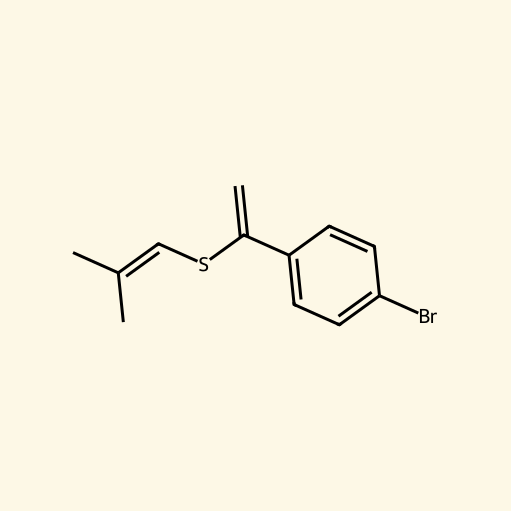 C=C(SC=C(C)C)c1ccc(Br)cc1